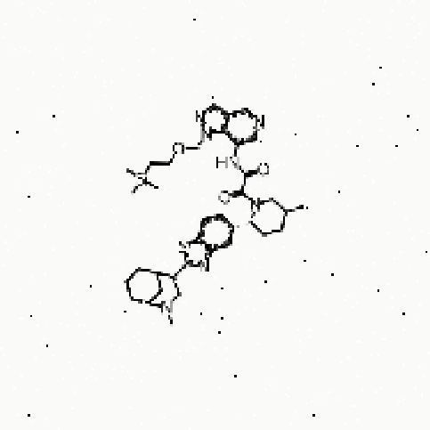 C[C@H]1CC[C@H](c2ccc3sc(C4CN(C)C5CCCC4C5)nc3c2)N(C(=O)C(=O)Nc2cncc3cnn(COCC[Si](C)(C)C)c23)C1